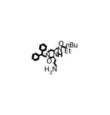 CCCCC(CC)C(=O)NC[C@@H]1CCN(CC(c2ccccc2)c2ccccc2)C(=O)[C@H](CCCN)N1